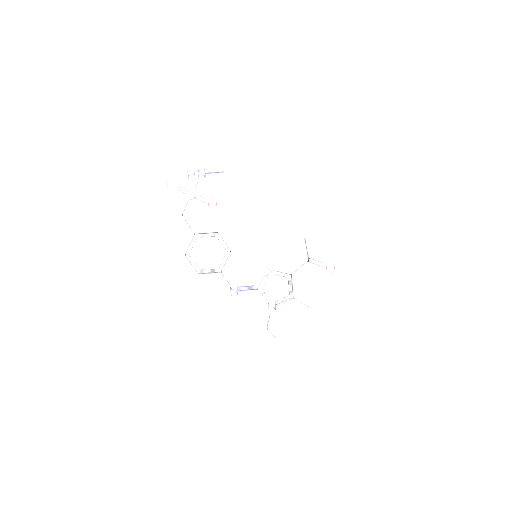 CCn1c(C)c(C(C)=O)s/c1=N\c1ccc(CS(=O)(=O)NC)cc1